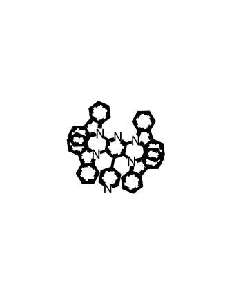 c1ccc2c(c1)c1ccccc1n2-c1nc(-n2c3ccccc3c3ccccc32)c(-n2c3ccccc3c3ccccc32)c(-c2ccncc2)c1-n1c2ccccc2c2ccccc21